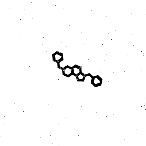 C1=NC2N(Cc3ccccc3)CCN2C2=C1CN(Cc1ccccc1)CC2